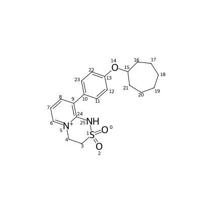 O=S1(=O)CC[n+]2cccc(-c3ccc(OC4CCCCCC4)cc3)c2N1